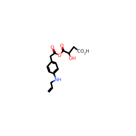 C=CCNc1ccc(CC(=O)OC(=O)C(O)CC(=O)O)cc1